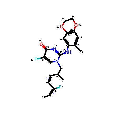 C/C=C(F)\C=C/C(C)Cn1cc(F)c(=O)nc1Nc1cc2c(cc1C)OCCO2